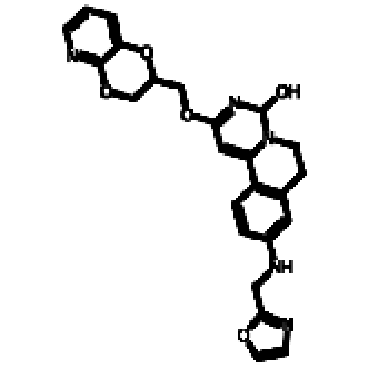 OC1N=C(OCC2COc3ncccc3O2)C=C2c3ccc(NCc4ncco4)cc3CCN21